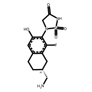 NC[C@@H]1CCc2cc(O)c(N3CC(=O)NS3(=O)=O)c(F)c2C1